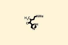 CNCCC(C)C(=O)c1cnc[nH]1